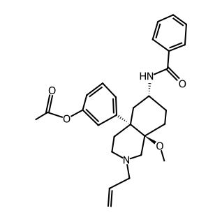 C=CCN1CC[C@@]2(c3cccc(OC(C)=O)c3)C[C@H](NC(=O)c3ccccc3)CC[C@]2(OC)C1